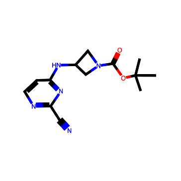 CC(C)(C)OC(=O)N1CC(Nc2ccnc(C#N)n2)C1